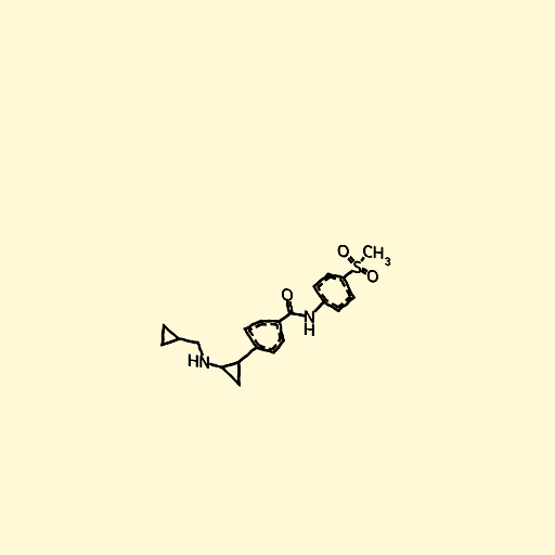 CS(=O)(=O)c1ccc(NC(=O)c2ccc(C3CC3NCC3CC3)cc2)cc1